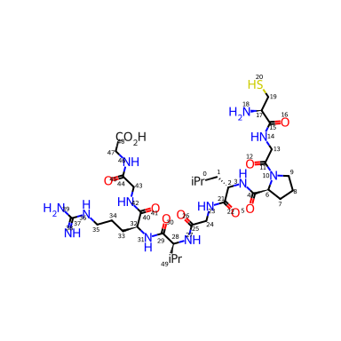 CC(C)C[C@H](NC(=O)[C@@H]1CCCN1C(=O)CNC(=O)[C@@H](N)CS)C(=O)NCC(=O)N[C@H](C(=O)N[C@@H](CCCNC(=N)N)C(=O)NCC(=O)NCC(=O)O)C(C)C